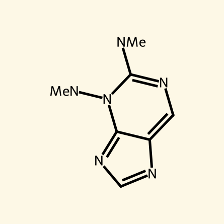 CNc1ncc2ncnc-2n1NC